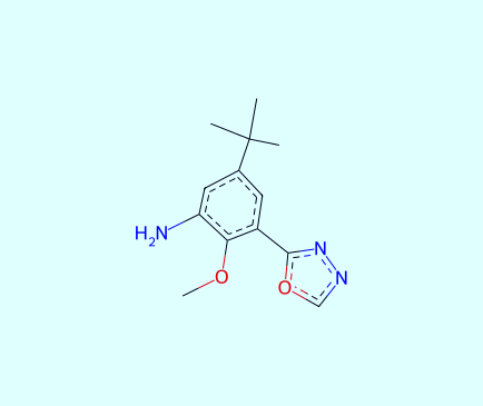 COc1c(N)cc(C(C)(C)C)cc1-c1nnco1